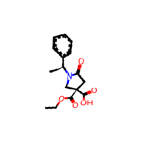 CCOC(=O)[C@]1(C(=O)O)CC(=O)N([C@@H](C)c2ccccc2)C1